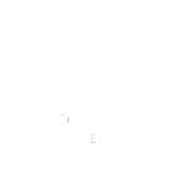 CCC(CC)Cc1[c]c2ccccc2cc1